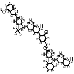 COc1cccc2oc(C(=O)N[C@@H](CC(C)(C)C)C(=O)N[C@H](C#N)C[C@@H]3CC(c4ccc(COC(=O)N[C@@H](CC5CCCCC5)C(=O)N[C@H](C#N)C[C@@H]5CCCNC5=O)cc4Cl)CNC3=O)cc12